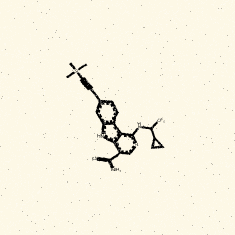 C[Si](C)(C)C#Cc1ccc2c(c1)[nH]c1c(C(N)=O)cnc(NC(C3CC3)C(F)(F)F)c12